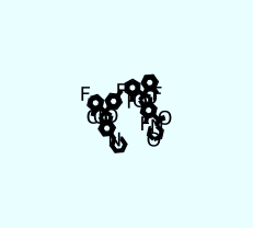 Fc1ccc(C2(c3ccc(F)cc3Cl)Oc3ccc(N4CCCCC4)cc3O2)cc1.O=C(c1cc2c(cc1F)OC(c1ccccc1F)(c1ccccc1F)O2)N1CCOCC1